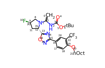 C=C(NC(=O)OC(C)(C)C)N1C[C@H](F)C[C@H]1c1nc(-c2ccc(OCCCCCCCC)c(C(F)(F)F)c2)no1